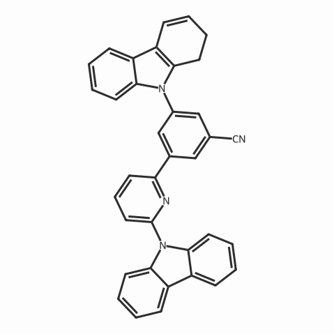 N#Cc1cc(-c2cccc(-n3c4ccccc4c4ccccc43)n2)cc(-n2c3c(c4ccccc42)C=CCC3)c1